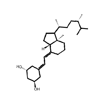 CC(C)[C@@H](C)CC[C@@H](C)C1CC[C@H]2/C(=C/C=C3C[C@@H](O)C[C@H](O)C3)CCC[C@]12C